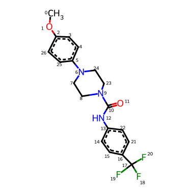 COc1ccc(N2CCN(C(=O)Nc3ccc(C(F)(F)F)cc3)CC2)cc1